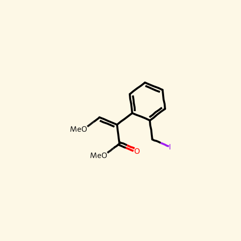 COC=C(C(=O)OC)c1ccccc1CI